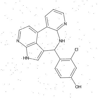 Oc1ccc(C2Nc3ncccc3-c3ccnc4[nH]cc2c34)c(Cl)c1